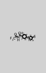 C[C@H](NC(=O)C(F)(F)F)c1ccc(-n2cc(F)cn2)cc1